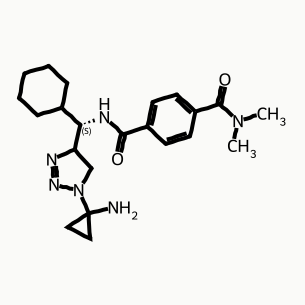 CN(C)C(=O)c1ccc(C(=O)N[C@@H](C2CCCCC2)C2CN(C3(N)CC3)N=N2)cc1